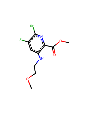 COCCNc1cc(F)c(Br)nc1C(=O)OC